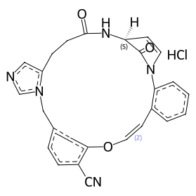 Cl.N#Cc1ccc2cc1O/C=C\c1ccccc1N1C=C[C@H](NC(=O)CCc3cncn3C2)C1=O